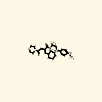 CC(CNc1ccc(OC(F)(F)F)cc1)NC(=O)C(CC(=O)N1CCOCC1)CC1CCCCC1